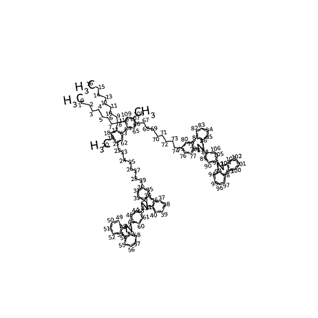 CCCCCCCCC1(CCCCCCCC)c2cc(C)c(CCCCCCCCc3ccc4c(c3)c3ccccc3n4-c3ccc(-n4c5ccccc5c5ccccc54)cc3)cc2-c2cc(CCCCCCCCc3ccc4c(c3)c3ccccc3n4-c3ccc(-n4c5ccccc5c5ccccc54)cc3)c(C)cc21